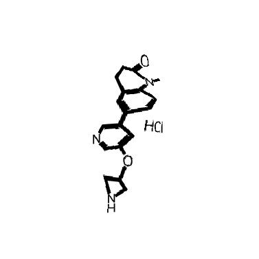 CN1C(=O)CCc2cc(-c3cncc(OC4CNC4)c3)ccc21.Cl